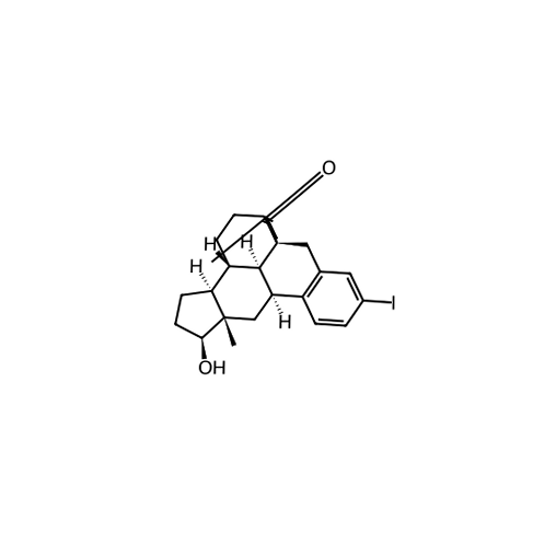 C[C@]12C[C@@H]3c4ccc(I)cc4C[C@]45CCC(=O)C=C4CC[C@H]([C@H]35)[C@@H]1CC[C@@H]2O